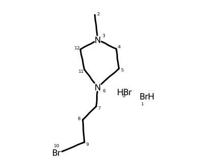 Br.Br.CN1CCN(CCCBr)CC1